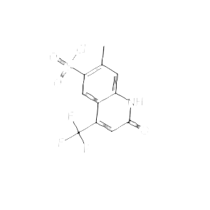 Cc1cc2[nH]c(=O)cc(C(F)(F)F)c2cc1S(=O)(=O)Cl